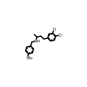 CC(CCc1ccc(Cl)c(Cl)c1)NCc1ccc(C(C)(C)C)cc1